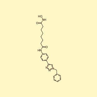 O=C(CCCCCCC(=O)Nc1ccc(-c2cn(Cc3ccccc3)nn2)cc1)NO